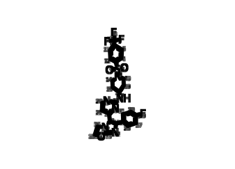 O=S(=O)(c1ccc(C(F)(F)F)cc1)N1CCC(Nc2nccc(C3C(c4ccc(F)cc4)N=C4OC=CN43)n2)CC1